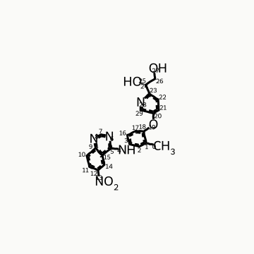 Cc1cc(Nc2ncnc3ccc([N+](=O)[O-])cc23)ccc1Oc1ccc([C@H](O)CO)nc1